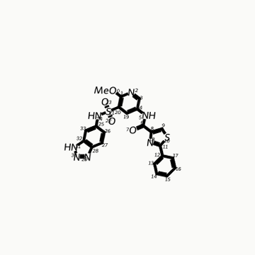 COc1ncc(NC(=O)c2csc(-c3ccccc3)n2)cc1S(=O)(=O)Nc1ccc2nn[nH]c2c1